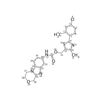 Cc1cc(Cl)ccc1-c1nc(C)c(COC(=O)Nc2ccc3c(c2)nc2n3CCOC2)s1